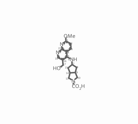 COc1ccc2c(NC3CC4CN(C(=O)O)CC4C3)c(CO)cnc2n1